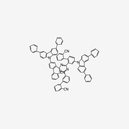 N#Cc1ccccc1-c1cccc(-c2nc(-c3cc(-n4c5ccc(-c6ccccc6)cc5c5cc(-c6ccccc6)ccc54)ccc3-c3ccccc3C#N)nc(-c3cc(-n4c5ccc(-c6ccccc6)cc5c5cc(-c6ccccc6)ccc54)ccc3-c3ccccc3C#N)n2)c1